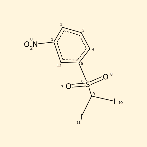 O=[N+]([O-])c1cccc(S(=O)(=O)C(I)I)c1